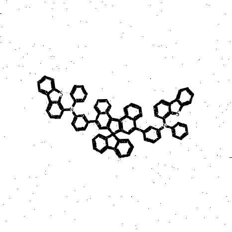 c1ccc(N(c2cccc(-c3cc4c(c5ccccc35)-c3c(cc(-c5cccc(N(c6ccccc6)c6cccc7c6sc6ccccc67)c5)c5ccccc35)C43c4ccccc4-c4ccccc43)c2)c2cccc3c2sc2ccccc23)cc1